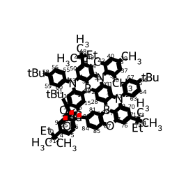 CCC(C)(C)c1cc2c3c(c1)Oc1cc4c(cc1B3c1cc(C(C)(C)C)ccc1O2)B1c2cc3c(cc2N(c2c(C)cc(C)cc2C)c2cc(C(C)(C)CC)cc(c21)N4c1ccc(C(C)(C)C)cc1)N(c1ccc(C(C)(C)C)cc1)c1cc(C(C)(C)CC)cc2c1B3c1cc(C(C)(C)C)ccc1O2